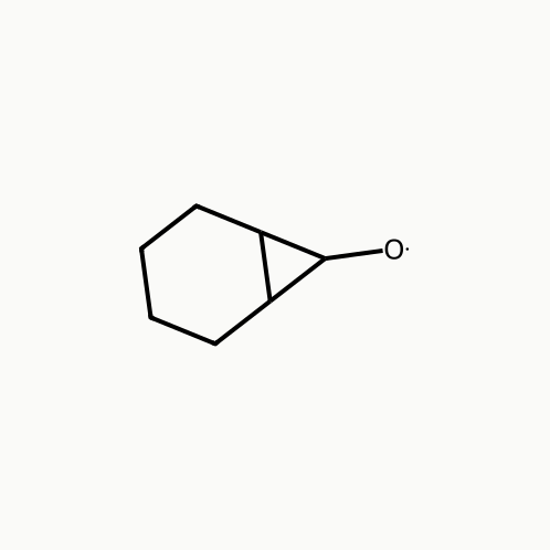 [O]C1C2CCCCC12